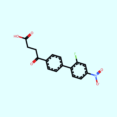 O=C(O)CCC(=O)c1ccc(-c2ccc([N+](=O)[O-])cc2F)cc1